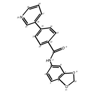 O=C(Nc1ccc2c(c1)OCO2)c1ccc(-c2cccnc2)cc1